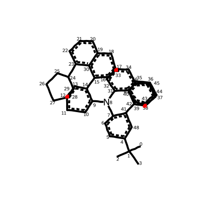 CC(C)(C)c1ccc(N(c2ccccc2-c2cccc3cccc(C4CCCCC4)c23)c2cccc3ccccc23)c(-c2ccccc2)c1